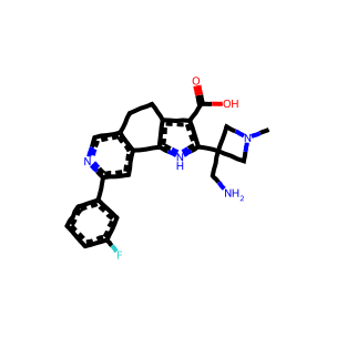 CN1CC(CN)(c2[nH]c3c(c2C(=O)O)CCc2cnc(-c4cccc(F)c4)cc2-3)C1